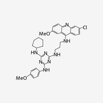 COc1ccc(Nc2nc(NCCCNc3c4ccc(Cl)cc4nc4ccc(OC)cc34)nc(NC3CCCCC3)n2)cc1